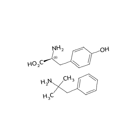 CC(C)(N)Cc1ccccc1.N[C@@H](Cc1ccc(O)cc1)C(=O)O